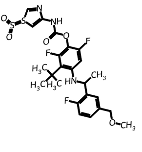 COCc1ccc(F)c(C(C)Nc2cc(F)c(OC(=O)NC3=CS(=S(=O)=O)C=N3)c(F)c2C(C)(C)C)c1